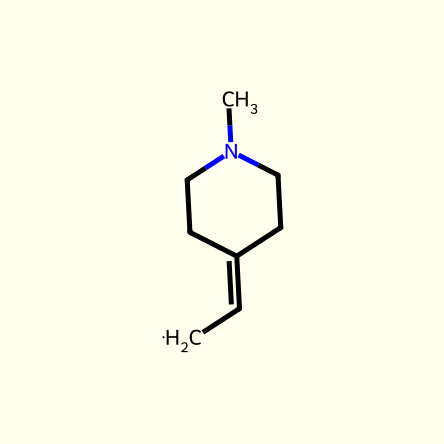 [CH2]C=C1CCN(C)CC1